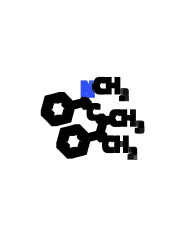 C=NC(=C=C(C)C(=C)c1ccccc1)c1ccccc1